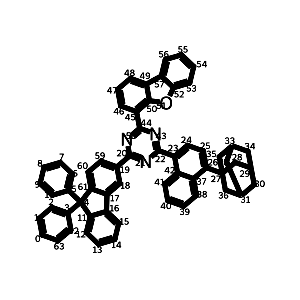 c1ccc(C2(c3ccccc3)c3ccccc3-c3cc(-c4nc(-c5ccc(C67CC8CC(CC(C8)C6)C7)c6ccccc56)nc(-c5cccc6c5oc5ccccc56)n4)ccc32)cc1